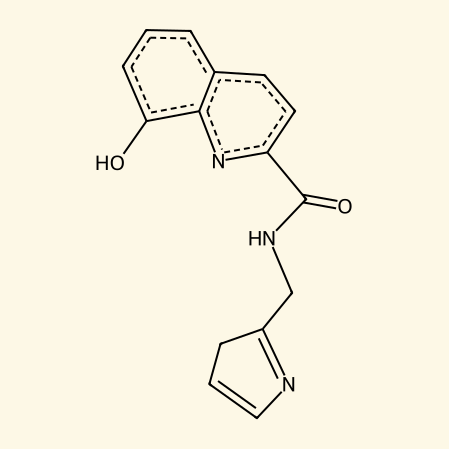 O=C(NCC1=NC=CC1)c1ccc2cccc(O)c2n1